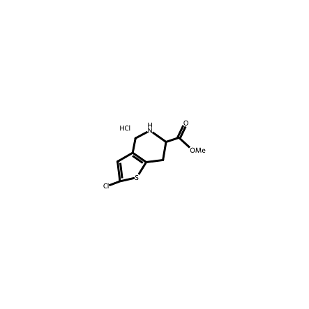 COC(=O)C1Cc2sc(Cl)cc2CN1.Cl